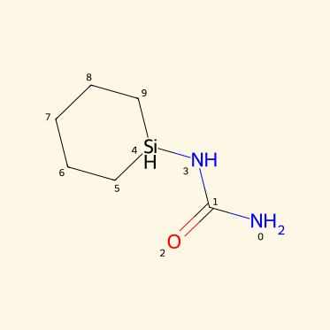 NC(=O)N[SiH]1CCCCC1